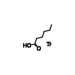 CCCCCC(=O)O.[Tl]